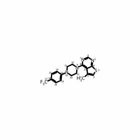 Cc1csc2ncnc(N3CCN(c4ccc(C(F)(F)F)cc4)CC3)c12